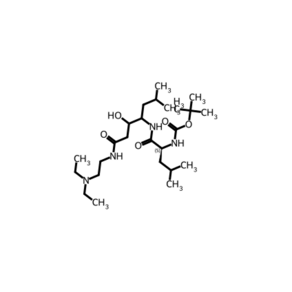 CCN(CC)CCNC(=O)CC(O)C(CC(C)C)NC(=O)[C@H](CC(C)C)NC(=O)OC(C)(C)C